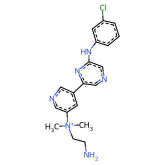 C[N+](C)(CCN)c1cncc(-c2cncc(Nc3cccc(Cl)c3)n2)c1